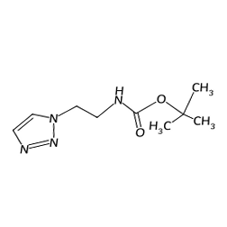 CC(C)(C)OC(=O)NCCn1ccnn1